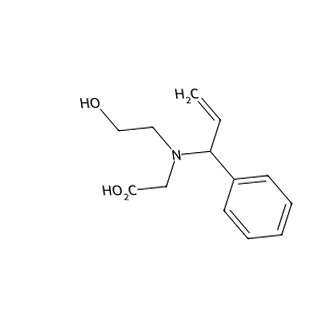 C=CC(c1ccccc1)N(CCO)CC(=O)O